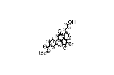 C[C@@H]1CN(c2nc(=O)n3c4c(c(Br)c(Cl)cc24)OC[C@H]3CCCO)[C@@H](C)CN1C(=O)OC(C)(C)C